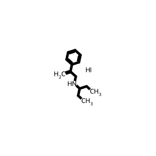 C=C(CNC(CC)CC)c1ccccc1.I